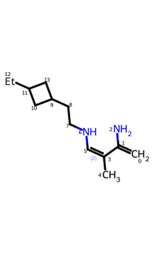 C=C(N)/C(C)=C\NCCC1CC(CC)C1